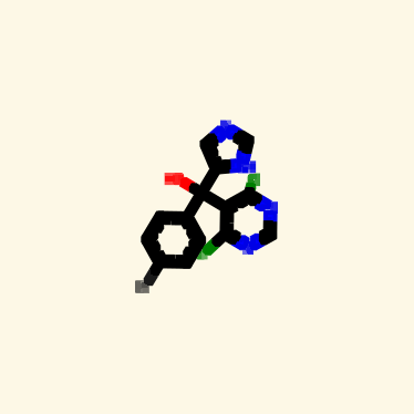 CCc1ccc(C(O)(c2cnc[nH]2)c2c(Cl)ncnc2Cl)cc1